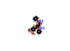 COc1cc2cc(CC(C)(C(=O)Nc3ccccc3)C(=O)ONc3ccccc3)sc2cc1OC